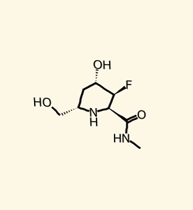 CNC(=O)[C@H]1N[C@H](CO)C[C@H](O)[C@H]1F